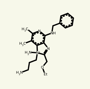 CCOCC1=Nc2c(NCc3ccccc3)nc(C)c(C)c2[N+]1(N)CCCN